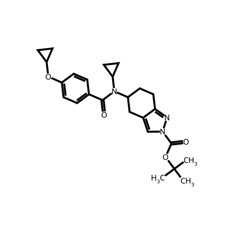 CC(C)(C)OC(=O)n1cc2c(n1)CCC(N(C(=O)c1ccc(OC3CC3)cc1)C1CC1)C2